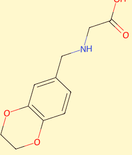 O=C(O)CNCc1ccc2c(c1)OCCO2